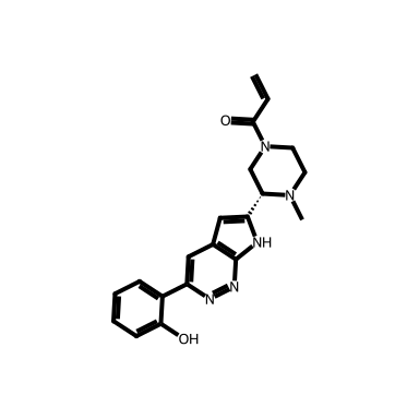 C=CC(=O)N1CCN(C)[C@H](c2cc3cc(-c4ccccc4O)nnc3[nH]2)C1